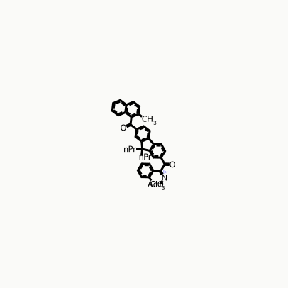 CCCC1(CCC)c2cc(C(=O)/C(=N/OC(C)=O)c3ccccc3C)ccc2-c2ccc(C(=O)c3c(C)ccc4ccccc34)cc21